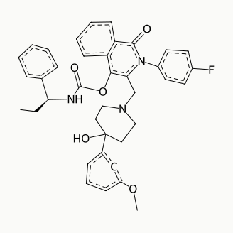 CC[C@H](NC(=O)Oc1c(CN2CCC(O)(c3cccc(OC)c3)CC2)n(-c2ccc(F)cc2)c(=O)c2ccccc12)c1ccccc1